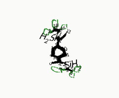 CC([SiH2]C(Cl)C(Cl)Cl)c1ccc(C(C)[SiH2]C(Cl)C(Cl)Cl)cc1